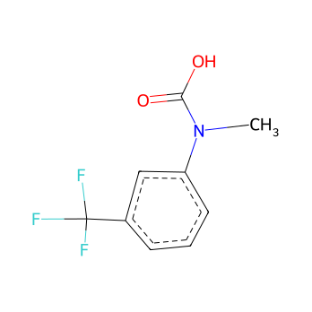 CN(C(=O)O)c1cccc(C(F)(F)F)c1